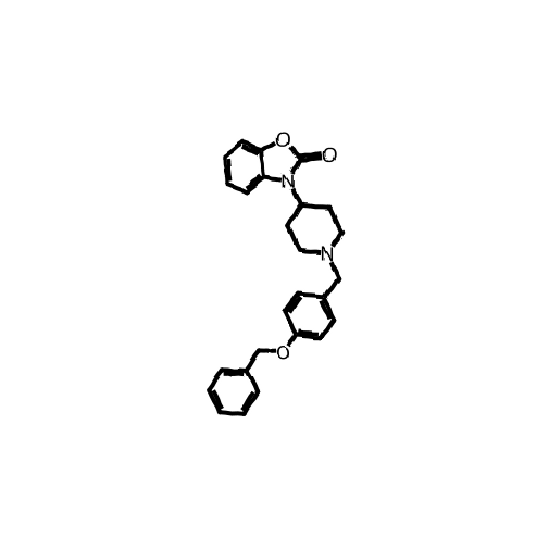 O=c1oc2ccccc2n1C1CCN(Cc2ccc(OCc3ccccc3)cc2)CC1